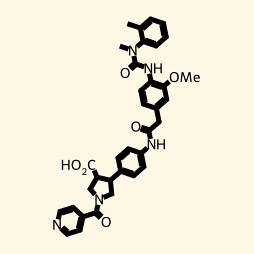 COc1cc(CC(=O)Nc2ccc(C3CN(C(=O)c4ccncc4)CC3C(=O)O)cc2)ccc1NC(=O)N(C)c1ccccc1C